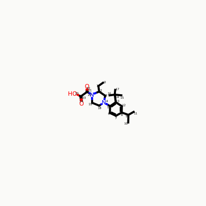 CCC1CN(c2ccc(C(C)C)cc2C(C)(C)C)CCN1C(=O)C(=O)O